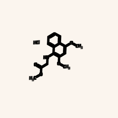 COC(=O)CNc1c(OC)cc(OC)c2ccccc12.Cl